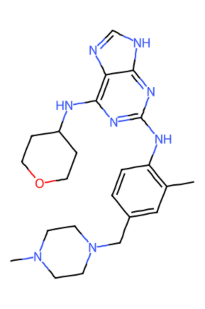 Cc1cc(CN2CCN(C)CC2)ccc1Nc1nc(NC2CCOCC2)c2nc[nH]c2n1